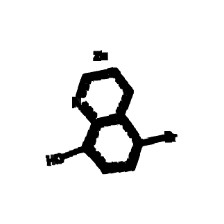 Oc1ccc(Br)c2cccnc12.[Zn]